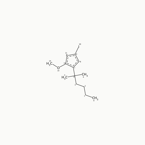 CCCCC(C)(C)c1cc(I)sc1OC